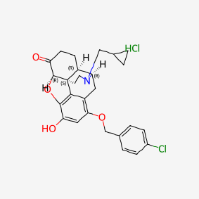 Cl.O=C1CC[C@H]2[C@H]3Cc4c(OCc5ccc(Cl)cc5)cc(O)c5c4[C@@]2(CCN3CC2CC2)[C@H]1O5